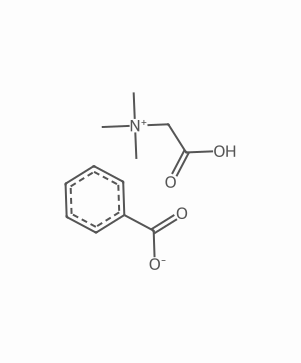 C[N+](C)(C)CC(=O)O.O=C([O-])c1ccccc1